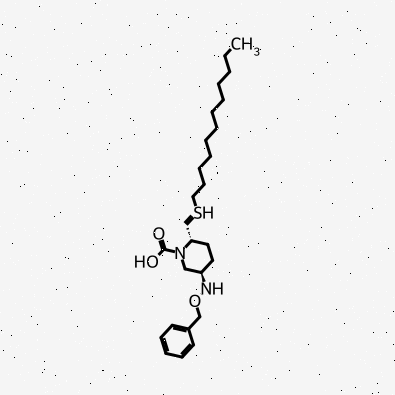 CCCCCCCCCCCC[SH]=C[C@@H]1CC[C@@H](NOCc2ccccc2)CN1C(=O)O